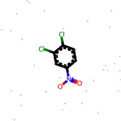 O=[N+]([O-])c1[c]c(Cl)c(Cl)[c]c1